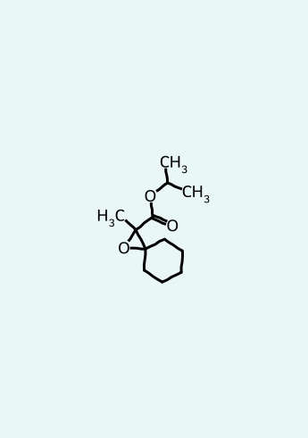 CC(C)OC(=O)C1(C)OC12CCCCC2